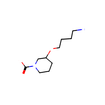 NCCCCOC1CCCN(C(=O)O)C1